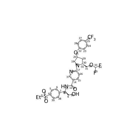 CCS(=O)(=O)c1ccc([C@H](CO)NC(=O)c2ccc(N3CC(Oc4ccc(C(F)(F)F)cc4)C[C@H]3COC(F)F)nc2)cc1